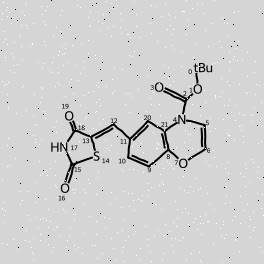 CC(C)(C)OC(=O)N1C=COc2ccc(/C=C3\SC(=O)NC3=O)cc21